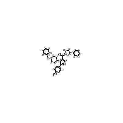 O=C(c1cnn(-c2ccc(F)cc2)c1C1CCN(Cc2ccccc2)CC1)N1CC[C@H](c2ccccc2)C1